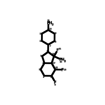 FC1CCC2CC(C3CCC(P)CC3)C(F)(P)C2C1F